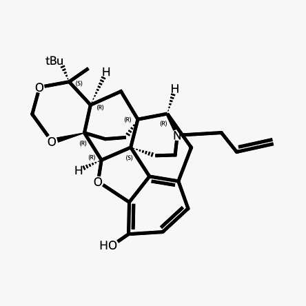 C=CCN1CC[C@]23c4c5ccc(O)c4O[C@H]2[C@@]24CC[C@]3(C[C@@H]2[C@@](C)(C(C)(C)C)OCO4)[C@H]1C5